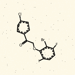 O=C(COc1c(I)ccc(F)c1Br)c1ccc(Cl)cc1